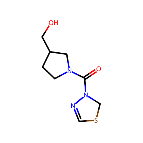 O=C(N1CCC(CO)C1)N1CSC=N1